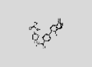 CCC(=O)N[C@H]1CC[C@@H](N(C)C(=O)c2ccc(-c3ccc4[nH]ncc4c3C)cc2)C1